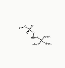 CCCCC[P+](CCCCC)(CCCCC)CCCCC.CCOP(=O)([O-])OCC